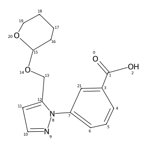 O=C(O)c1cccc(-n2nccc2COC2CCCCO2)c1